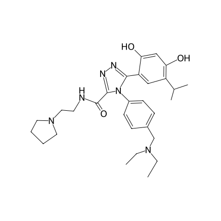 CCN(CC)Cc1ccc(-n2c(C(=O)NCCN3CCCC3)nnc2-c2cc(C(C)C)c(O)cc2O)cc1